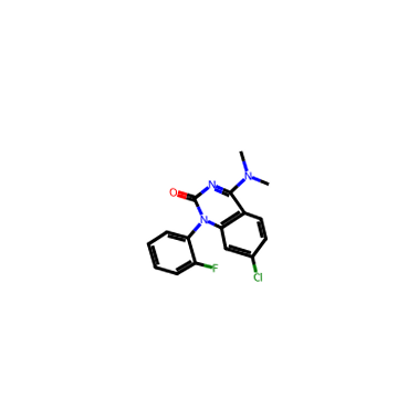 CN(C)c1nc(=O)n(-c2ccccc2F)c2cc(Cl)ccc12